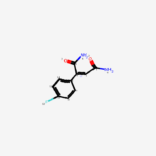 NC(=O)/C=C(\C(N)=O)c1ccc(F)cc1